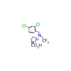 O=C(O)N1CC[C@H](N(Cc2ccc(Cl)cc2Cl)CC(F)(F)F)C1